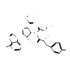 CCCCNC(=O)[C@H]1O[C@@H](n2cnc3c(N)ncnc32)[C@H](O)[C@@H]1N(C(=O)NCCCC)C(=O)[C@@H](N)Cc1ccc(OC)cc1